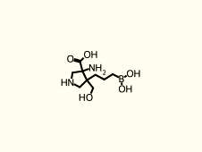 NC1(C(=O)O)CNCC1(CO)CCCB(O)O